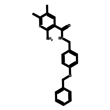 Cc1cc(C(=O)NCc2ccc(OCc3ccccc3)cc2)c(N)nc1C